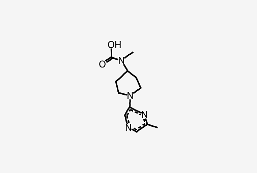 Cc1cncc(N2CCC(N(C)C(=O)O)CC2)n1